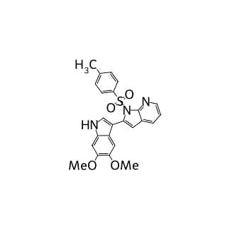 COc1cc2[nH]cc(-c3cc4cccnc4n3S(=O)(=O)c3ccc(C)cc3)c2cc1OC